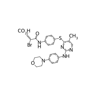 Cc1cnc(Nc2ccc(N3CCOCC3)cc2)nc1Sc1ccc(NC(=O)/C(Br)=C\C(=O)O)cc1